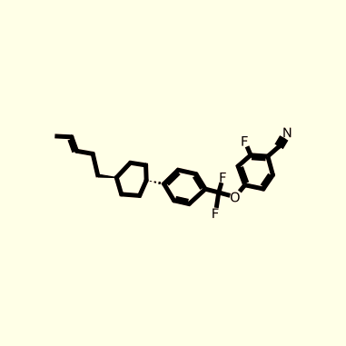 CC=CCC[C@H]1CC[C@H](c2ccc(C(F)(F)Oc3ccc(C#N)c(F)c3)cc2)CC1